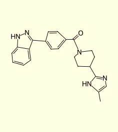 Cc1cnc(C2CCN(C(=O)c3ccc(-c4n[nH]c5ccccc45)cc3)CC2)[nH]1